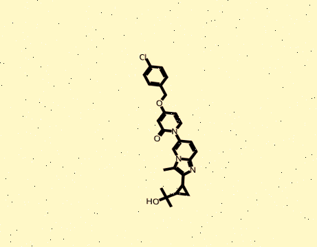 Cc1c(C2CC2C(C)(C)O)nc2ccc(-n3ccc(OCc4ccc(Cl)cc4)cc3=O)cn12